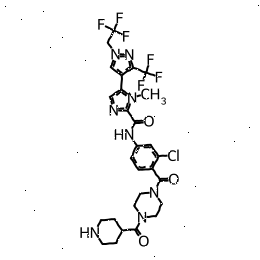 Cn1c(-c2cn(CC(F)(F)F)nc2C(F)(F)F)cnc1C(=O)Nc1ccc(C(=O)N2CCN(C(=O)C3CCNCC3)CC2)c(Cl)c1